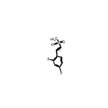 CS(=O)(=O)/C=C/c1ccc(F)cc1F